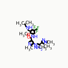 COc1c(CNCC(C)C)cc(C(F)(F)F)cc1NC(=O)c1cnc(C)c(N(N)/C=C(\C)c2cnn(C)c2C)c1